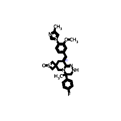 COc1cc(/C=C2\CC3(CN4C2=NNCC4(C)c2ccc(F)cc2)C[S+]([O-])C3)ccc1-n1cnc(C)c1